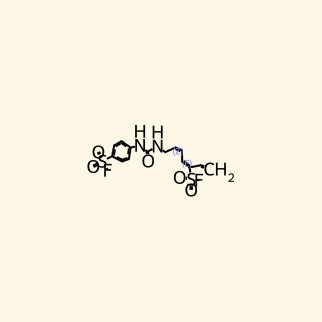 C=C/C(=C\C=C/CNC(=O)Nc1ccc(S(=O)(=O)F)cc1)S(=O)(=O)F